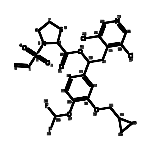 C=CS(=O)(=O)N1CCSC1C(=O)OC(Cc1c(Cl)cncc1Cl)c1ccc(OC(F)F)c(OCC2CC2)c1